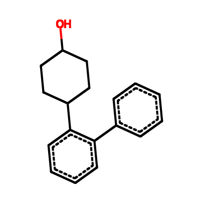 OC1CCC(c2ccccc2-c2ccccc2)CC1